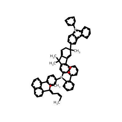 C/C=C\C=C(/CC)c1cccc2cccc(-c3ccc(N(c4ccc5c(c4)C(C)(C)C4=CCC(C)(c6ccc7c(c6)c6ccccc6n7-c6ccccc6)C=C45)c4ccccc4-c4ccccc4)cc3)c12